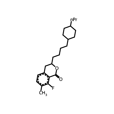 CCCC1CCC(CCCCC2Cc3ccc(C)c(F)c3C(=O)O2)CC1